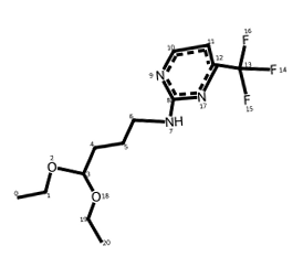 CCOC(CCCNc1nccc(C(F)(F)F)n1)OCC